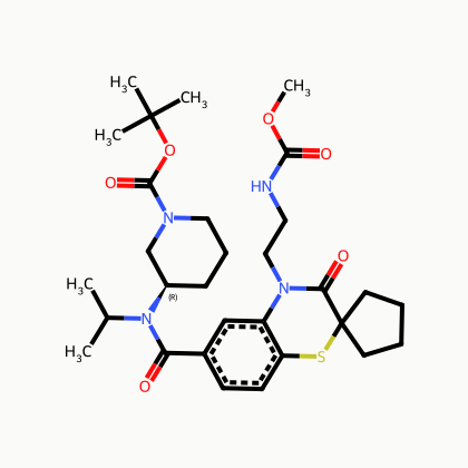 COC(=O)NCCN1C(=O)C2(CCCC2)Sc2ccc(C(=O)N(C(C)C)[C@@H]3CCCN(C(=O)OC(C)(C)C)C3)cc21